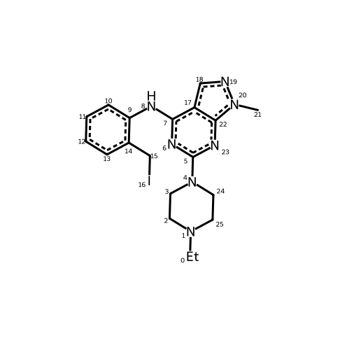 CCN1CCN(c2nc(Nc3ccccc3CI)c3cnn(C)c3n2)CC1